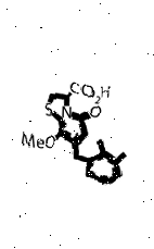 COc1c(Cc2cccc(C)c2C)cc(=O)n2c1SC[C@H]2C(=O)O